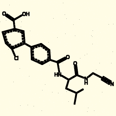 CC(C)CC(NC(=O)c1ccc(-c2cc(C(=O)O)ccc2Cl)cc1)C(=O)NCC#N